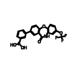 O=C1Nc2cc(OC(F)(F)F)ccc2Oc2ccc(-c3cccc(B(O)O)c3)cc21